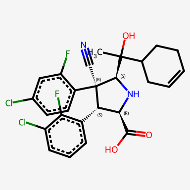 CC(O)(C1CC=CCC1)[C@H]1N[C@@H](C(=O)O)[C@H](c2cccc(Cl)c2F)[C@@]1(C#N)c1ccc(Cl)cc1F